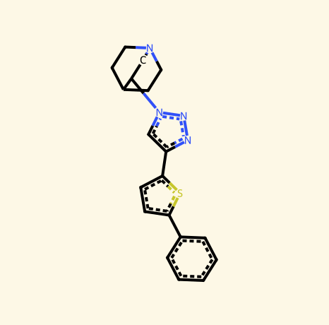 c1ccc(-c2ccc(-c3cn(C4CN5CCC4CC5)nn3)s2)cc1